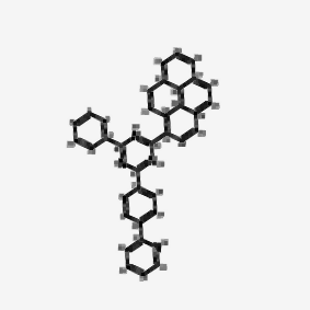 c1ccc(-c2nc(-c3ccc(-c4ccccn4)cc3)nc(-c3ccc4ccc5cccc6ccc3c4c56)n2)cc1